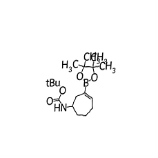 CC(C)(C)OC(=O)NC1CCCC=C(B2OC(C)(C)C(C)(C)O2)C1